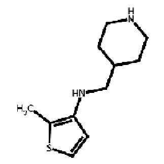 Cc1sccc1NCC1CCNCC1